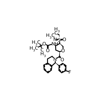 CC[S@@](=O)(=NC)[C@H]1CO[C@@H](C(=O)N2CCc3ccccc3[C@@H]2c2ccc(F)cc2)C[C@@H]1NC(=O)OC(C)(C)C